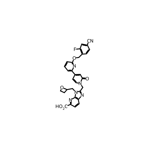 N#Cc1ccc(COc2cccc(-c3ccn(Cc4nc5ccc(C(=O)O)nc5n4CC4CCO4)c(=O)c3)n2)c(F)c1